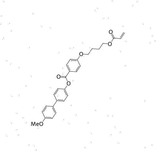 C=CC(=O)OCCCCOc1ccc(C(=O)Oc2ccc(-c3ccc(OC)cc3)cc2)cc1